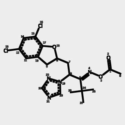 CC(=O)ON=C(C(CC1Cc2cc(Cl)cc(Cl)c2O1)n1cncn1)C(C)(C)C